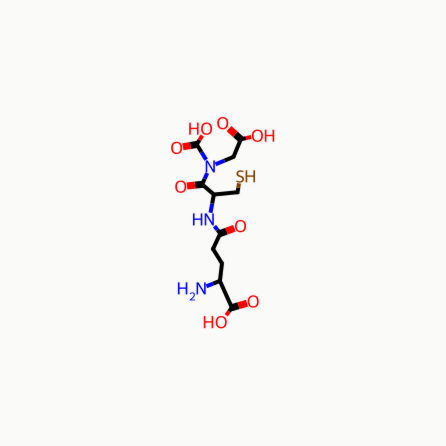 NC(CCC(=O)NC(CS)C(=O)N(CC(=O)O)C(=O)O)C(=O)O